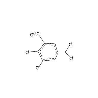 ClCCl.O=Cc1cccc(Cl)c1Cl